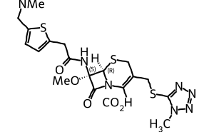 CNCc1ccc(CC(=O)N[C@]2(OC)C(=O)N3C(C(=O)O)=C(CSc4nnnn4C)CS[C@@H]32)s1